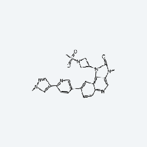 Cn1cc(-c2ccc(-c3ccc4ncc5c(c4c3)n(C3CN(S(C)(=O)=O)C3)c(=O)n5C)cn2)cn1